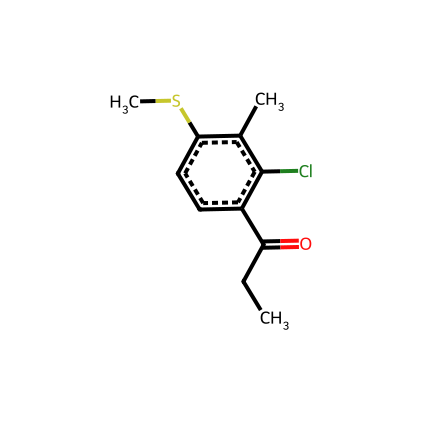 CCC(=O)c1ccc(SC)c(C)c1Cl